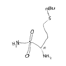 CCCCSCC[C@H](N)S(N)(=O)=O